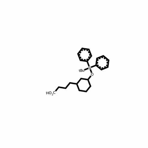 CC(C)(C)[Si](OC1CCCC(CCCC(=O)O)C1)(c1ccccc1)c1ccccc1